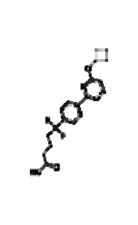 O=C(O)CCCC(F)(F)c1ccc(-c2cccc(OC3CCC3)n2)cc1